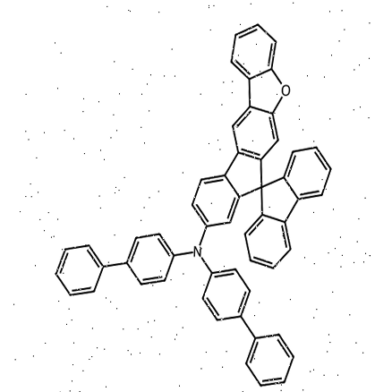 c1ccc(-c2ccc(N(c3ccc(-c4ccccc4)cc3)c3ccc4c(c3)C3(c5ccccc5-c5ccccc53)c3cc5oc6ccccc6c5cc3-4)cc2)cc1